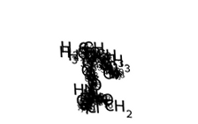 C=CC(=O)N1CCN(c2nc(NCCC(=O)N3CCN(C(=O)CCC[C@H](/C=C(\C)C[C@H](C)C[C@H](OC)[C@@H]4CCCC(C(=O)C(=O)N5CCCCC5)O4)C(=O)CC[C@@H](C)[C@H](OC=O)C(=C)C)CC3)nc3c(F)c(-c4c(O)cccc4F)c(Cl)cc23)CC1